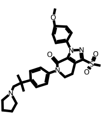 COc1ccc(-n2nc(S(C)(=O)=O)c3c2C(=O)N(c2ccc(C(C)(C)CN4CCCC4)cc2)CC3)cc1